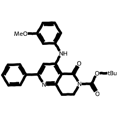 COc1cccc(Nc2cc(-c3ccccc3)nc3c2C(=O)N(C(=O)OC(C)(C)C)CC3)c1